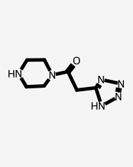 O=C(Cc1nnn[nH]1)N1CCNCC1